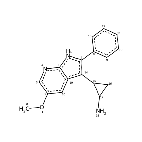 COc1cnc2[nH]c(-c3ccccc3)c(C3CC3N)c2c1